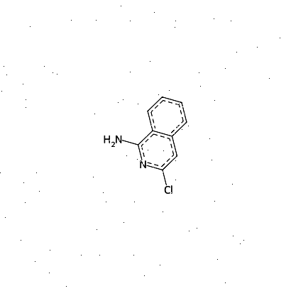 Nc1nc(Cl)cc2ccccc12